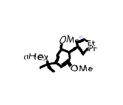 CC/C=C\C(CC(C)C)C1C(OC)=CC(C(C)(C)CCCCCC)=CC1OC